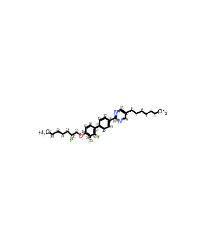 CCCCCCCc1cnc(-c2ccc(-c3ccc(OC[C@@H](F)CCCCC)c(F)c3F)cc2)nc1